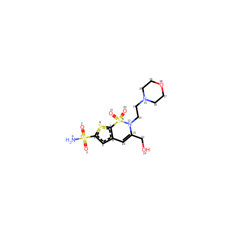 NS(=O)(=O)c1cc2c(s1)S(=O)(=O)N(CCN1CCOCC1)C(CO)=C2